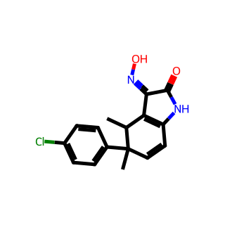 CC1C2=C(C=CC1(C)c1ccc(Cl)cc1)NC(=O)C2=NO